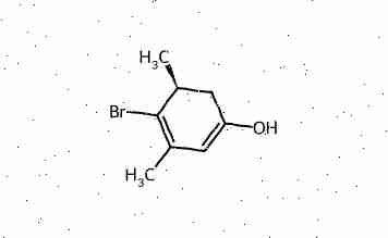 CC1=C(Br)[C@@H](C)CC(O)=C1